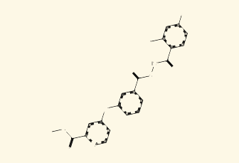 CNC(=O)c1cc(Oc2cccc(C(=O)NNC(=O)c3ccc(Cl)cc3Cl)c2)ccn1